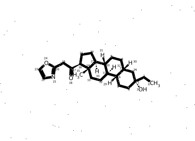 CC[C@@]1(O)CC[C@H]2[C@H](CC[C@@H]3[C@@H]2CC[C@]2(C)[C@@H](C(=O)Cc4ncco4)CC[C@@H]32)C1